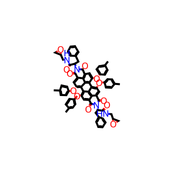 Cc1ccc(Oc2cc3c4c(cc(Oc5ccc(C)cc5)c5c6c(Oc7ccc(C)cc7)cc7c8c(cc(Oc9ccc(C)cc9)c(c2c45)c86)C(=O)N(C(Cc2ccccc2)C(=O)NCC2CO2)C7=O)C(=O)N(C(Cc2ccccc2)C(=O)NCC2CO2)C3=O)cc1